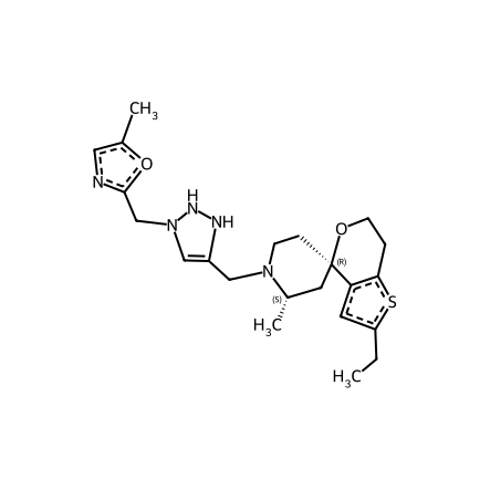 CCc1cc2c(s1)CCO[C@@]21CCN(CC2=CN(Cc3ncc(C)o3)NN2)[C@@H](C)C1